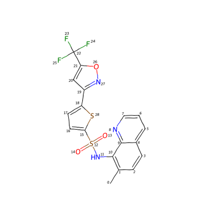 Cc1ccc2cccnc2c1NS(=O)(=O)c1ccc(-c2cc(C(F)(F)F)on2)s1